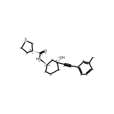 Cc1cccc(C#C[C@@]2(O)CCC[C@@H](NC(=O)[C@@H]3CCOC3)C2)c1